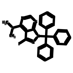 CN(C)c1ncnc2c1c(I)nn2C(c1ccccc1)(c1ccccc1)c1ccccc1